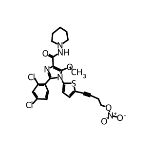 COc1c(C(=O)NN2CCCCC2)nc(-c2ccc(Cl)cc2Cl)n1-c1ccc(C#CCCO[N+](=O)[O-])s1